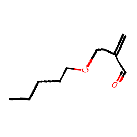 C=C([C]=O)COCCCCC